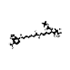 CC(O)C(C)(O)C(=O)C(CCCCNC(=O)CCCCCNc1ccc([N+](=O)[O-])c2nonc12)NC(=O)OC(C)(C)C